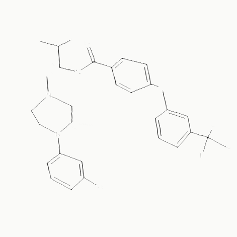 CC(C)[C@@H](CN1CCN(c2cccc(O)c2)[C@@H](C)C1)NC(=O)c1ccc(Oc2cccc(C(F)(F)F)c2)cc1